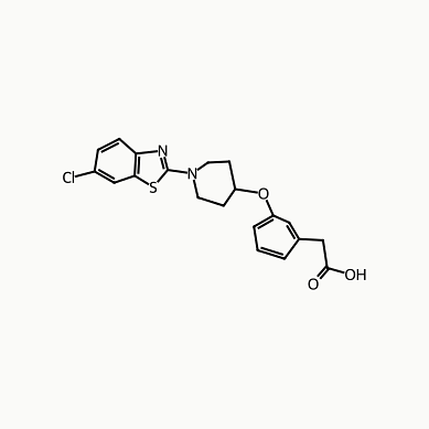 O=C(O)Cc1cccc(OC2CCN(c3nc4ccc(Cl)cc4s3)CC2)c1